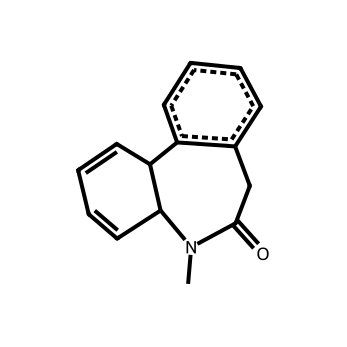 CN1C(=O)Cc2ccccc2C2C=CC=CC21